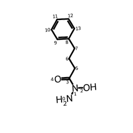 NN(O)C(=O)CCCc1ccccc1